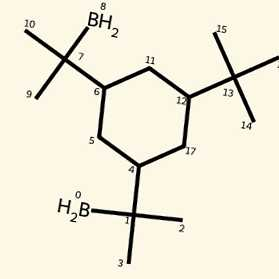 BC(C)(C)C1CC(C(B)(C)C)CC(C(C)(C)C)C1